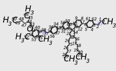 C/C=C/c1ccc(-c2ccc3c(c2)C(CCCCCCCC)(CCCCCCCC)c2cc(-c4ccc(/C=C/c5cc(OCC(CC)CCCC)c(C)cc5C)cc4)ccc2-3)cc1